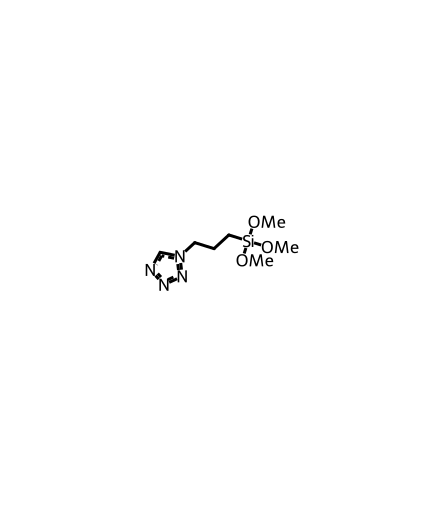 CO[Si](CCCn1cnnn1)(OC)OC